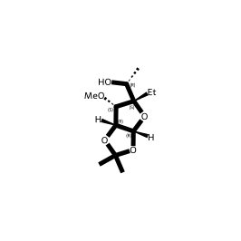 CC[C@@]1([C@@H](C)O)O[C@@H]2OC(C)(C)O[C@@H]2[C@@H]1OC